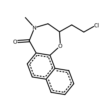 CN1CC(CCCl)Oc2c(ccc3ccccc23)C1=O